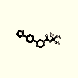 CC(C)(C)OC(=O)N1CCOC(c2ccc(-n3cccn3)cc2)C1